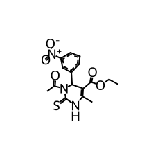 CCOC(=O)C1=C(C)NC(=S)N(C(C)=O)C1c1cccc([N+](=O)[O-])c1